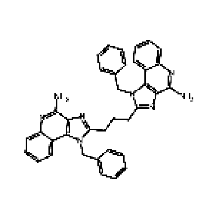 Nc1nc2ccccc2c2c1nc(CCCc1nc3c(N)nc4ccccc4c3n1Cc1ccccc1)n2Cc1ccccc1